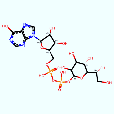 O=P(O)(OC[C@H]1O[C@@H](n2cnc3c(O)ncnc32)[C@@H](O)[C@H]1O)OP(=O)(O)O[C@@H]1OC([C@H](O)CO)[C@@H](O)C(O)C1O